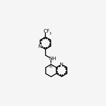 FC(F)(F)c1ccc(CN[C@@H]2CCCc3cccnc32)nc1